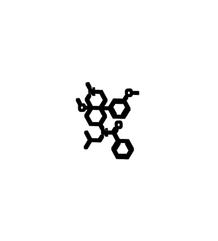 COc1cccc(C23CCN(C)CC2(OC)CCC(N(CC(C)C)C(=O)c2ccccc2)C3)c1